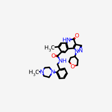 Cc1cc2[nH]c(=O)c3cnn(C4CCOCC4)c3c2cc1C(=O)NCc1ccccc1N1CCN(C)CC1